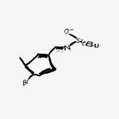 Cc1cc(/C=N/[S+]([O-])C(C)(C)C)ccc1Br